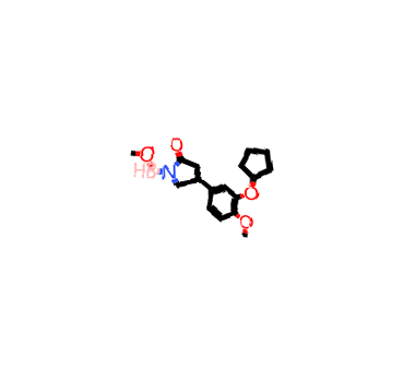 COBN1CC(c2ccc(OC)c(OC3CCCC3)c2)CC1=O